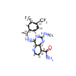 CCNc1nc(N[C@@H](C)c2ccc(C(F)(F)F)c(C(F)(F)F)c2)c2nccc(C(N)=O)c2n1